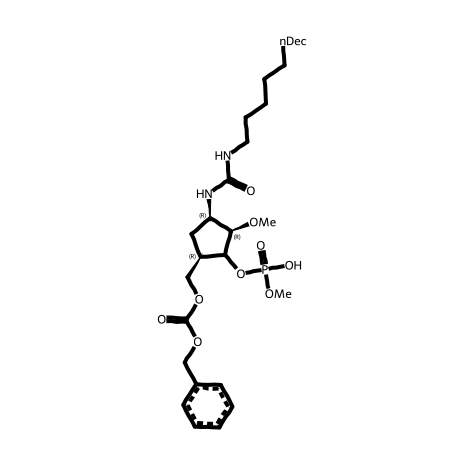 CCCCCCCCCCCCCCCNC(=O)N[C@@H]1C[C@H](COC(=O)OCc2ccccc2)C(OP(=O)(O)OC)[C@@H]1OC